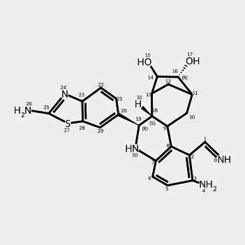 N=Cc1c(N)ccc2c1C1CC3CC(C(O)[C@@H]3O)[C@H]1[C@H](c1ccc3nc(N)sc3c1)N2